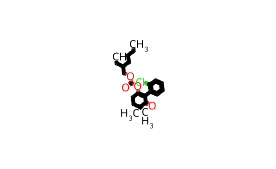 CCCCC(CC)COC(=O)OC1=C(c2ccccc2Cl)C(=O)C(C)(C)CC1